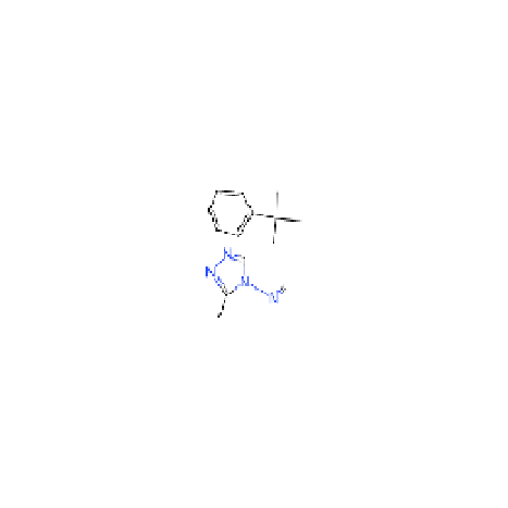 C=Nn1cnnc1C.CC(C)(C)c1ccccc1